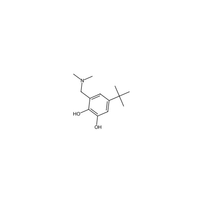 CN(C)Cc1cc(C(C)(C)C)cc(O)c1O